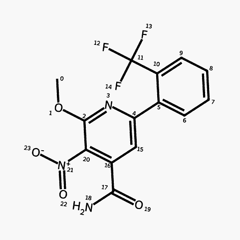 COc1nc(-c2ccccc2C(F)(F)F)cc(C(N)=O)c1[N+](=O)[O-]